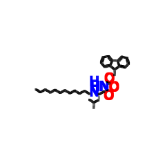 CCCCCCCCCCCCN[C@@H](CC(C)C)C(=O)NC(=O)OCC1c2ccccc2-c2ccccc21